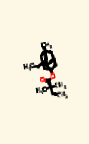 CCC12CC3CC(C)(C1)CC(OC(=O)C(C)(C)CC)(C3)C2